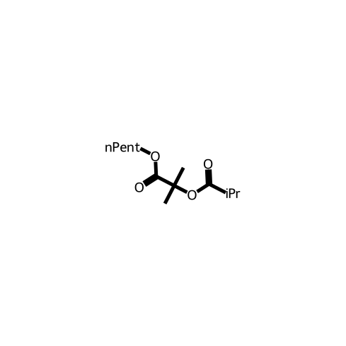 CCCCCOC(=O)C(C)(C)OC(=O)C(C)C